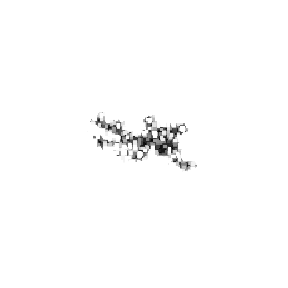 CC(C)CC(NC(=O)C(Cc1c[nH]c2ccccc12)NC(=O)C(Cc1ccc(O)cc1)NC(=O)C(CO)NC(=O)C(Cc1c[nH]c2ccccc12)NC(=O)C(CC(=O)C1CCC(=O)N1)Cc1cnc[nH]1)C(=O)NC(CCCNC(=N)N)C(=O)CN1CCCC1C(=O)NCC(N)=O